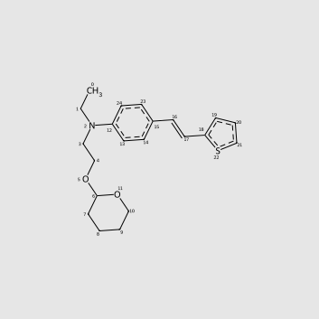 CCN(CCOC1CCCCO1)c1ccc(C=Cc2cccs2)cc1